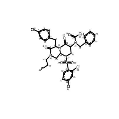 O=C1C(Cc2ccc(Cl)cc2)N2C(=O)C(N(Cc3ccccc3)C(=O)O)CN(S(=O)(=O)c3ccc(Cl)cc3Cl)C2CN1CCF